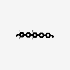 C=CC1CCC(C2CCC(c3cc(F)c(C4CCC(c5cc(F)c(CC)c(F)c5)CC4)c(F)c3)CC2)CC1